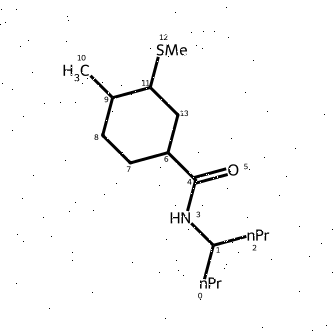 CCCC(CCC)NC(=O)C1CCC(C)C(SC)C1